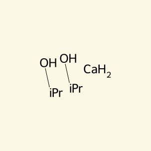 CC(C)O.CC(C)O.[CaH2]